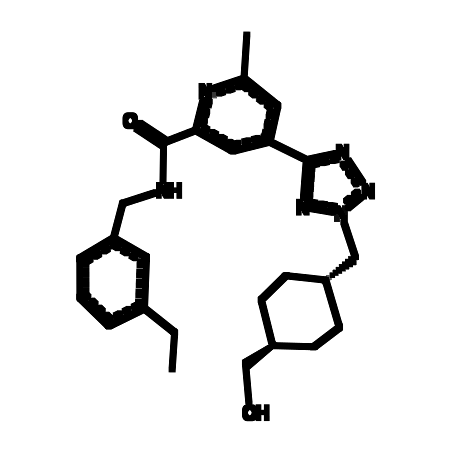 CCc1cccc(CNC(=O)c2cc(-c3nnn(C[C@H]4CC[C@H](CO)CC4)n3)cc(C)n2)c1